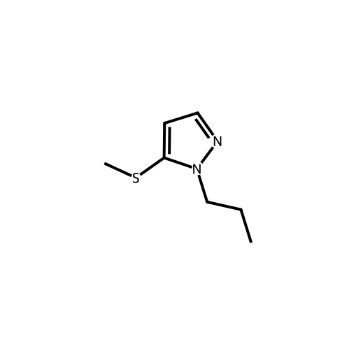 CCCn1nccc1SC